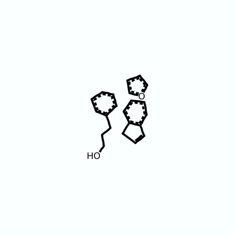 C1=Cc2ccccc2C1.OCCCc1ccccc1.c1ccoc1